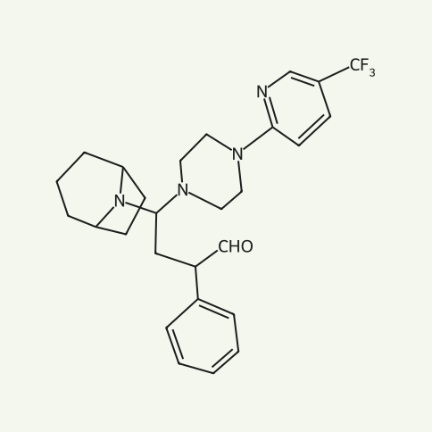 O=CC(CC(N1CCN(c2ccc(C(F)(F)F)cn2)CC1)N1C2CCCC1CC2)c1ccccc1